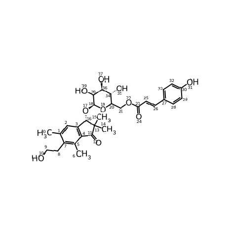 Cc1cc2c(c(C)c1CCO)C(=O)C(C)(C)[C@H]2O[C@@H]1OC(COC(=O)/C=C/c2ccc(O)cc2)[C@@H](O)[C@H](O)C1O